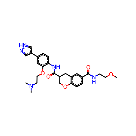 COCCNC(=O)c1ccc2c(c1)CC(C(=O)Nc1ccc(-c3cn[nH]c3)cc1OCCN(C)C)CO2